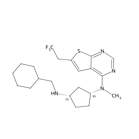 CN(c1ncnc2sc(CC(F)(F)F)cc12)[C@@H]1CC[C@H](NCC2CCCCC2)C1